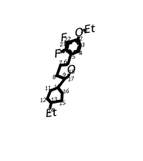 CCOc1ccc(C2CCC(C3CCC(CC)CC3)CO2)c(F)c1F